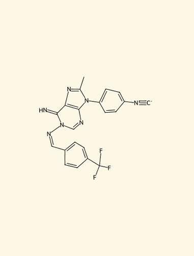 [C-]#[N+]c1ccc(-n2c(C)nc3c(=N)n(/N=C\c4ccc(C(F)(F)F)cc4)cnc32)cc1